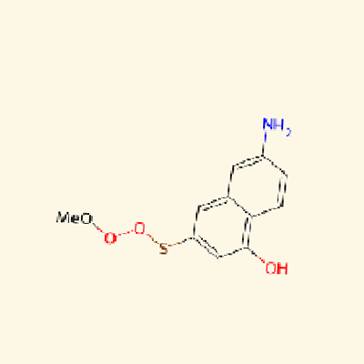 COOOSc1cc(O)c2ccc(N)cc2c1